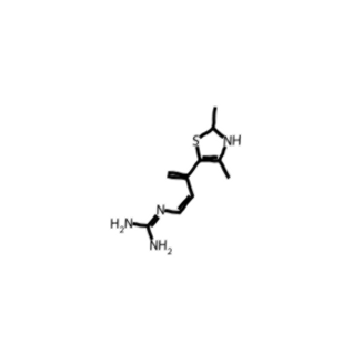 C=C(/C=C\N=C(N)N)C1=C(C)NC(C)S1